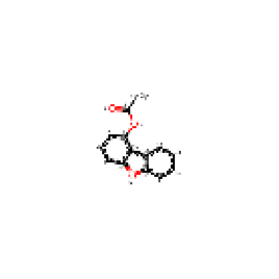 CCCC(=O)Oc1cccc2oc3ccccc3c12